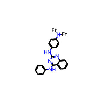 CCN(CC)c1ccc(Nc2nc(Nc3ccccc3)c3ccccc3n2)cc1